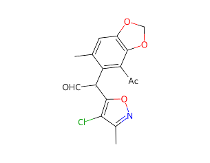 CC(=O)c1c2c(cc(C)c1[C](C=O)c1onc(C)c1Cl)OCO2